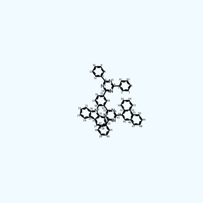 c1ccc(-c2nc(-c3ccccc3)nc(-c3ccc(-n4c5ccccc5c5ccccc54)c(-c4nc(-c5ccccc5)nc(-c5cc6ccccc6c6ccccc56)n4)c3)n2)cc1